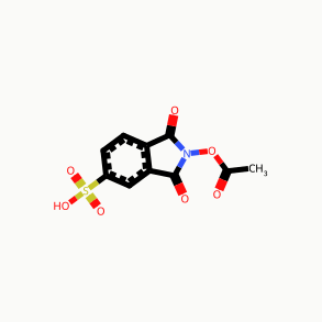 CC(=O)ON1C(=O)c2ccc(S(=O)(=O)O)cc2C1=O